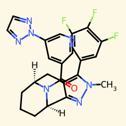 Cn1nc2c(c1-c1cc(F)c(F)c(F)c1)C[C@@H]1CCC[C@H]2N1C(=O)c1cncc(-n2nccn2)c1